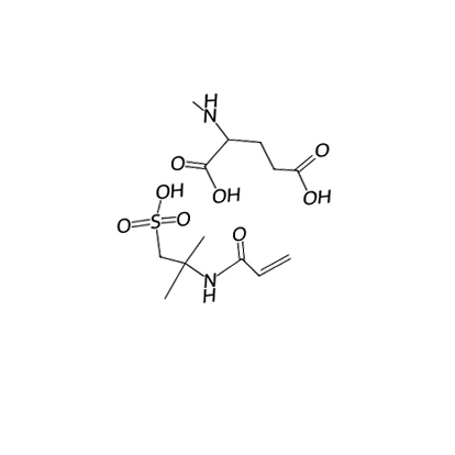 C=CC(=O)NC(C)(C)CS(=O)(=O)O.CNC(CCC(=O)O)C(=O)O